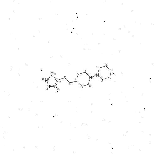 C1CCN(N2CCC(CCc3nnn[nH]3)CC2)CC1